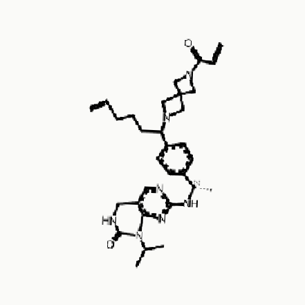 C=CCCCC(c1ccc([C@H](C)Nc2ncc3c(n2)N(C(C)C)C(=O)NC3)cc1)N1CC2(CN(C(=O)C=C)C2)C1